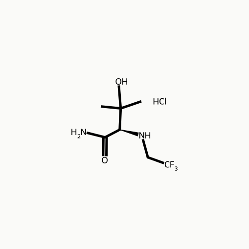 CC(C)(O)[C@@H](NCC(F)(F)F)C(N)=O.Cl